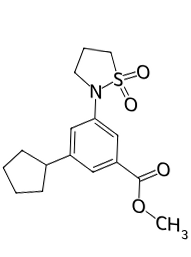 COC(=O)c1cc(C2CCCC2)cc(N2CCCS2(=O)=O)c1